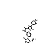 Cc1sc([C@H](C)Nc2nccc(N3C(=O)OCC3[C@@H](C)O)n2)nc1-c1ccc(Cl)cc1